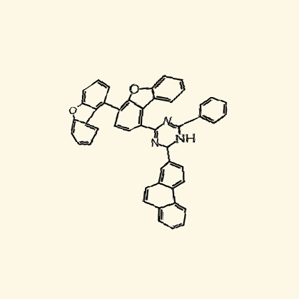 c1ccc(C2=NC(c3ccc(-c4cccc5oc6ccccc6c45)c4oc5ccccc5c34)=NC(c3ccc4c(ccc5ccccc54)c3)N2)cc1